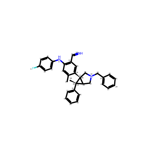 Cc1cc(Nc2ccc(F)cc2)c(C=N)cc1[C@@]12CN(Cc3ccccc3)CC1[C@]2(C)c1ccccc1